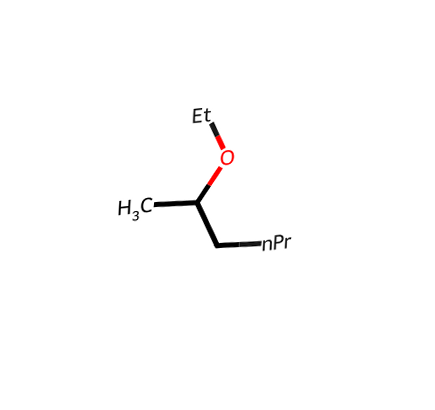 CCCCC(C)OCC